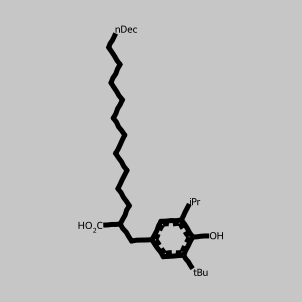 CCCCCCCCCCCCCCCCCCCCC(Cc1cc(C(C)C)c(O)c(C(C)(C)C)c1)C(=O)O